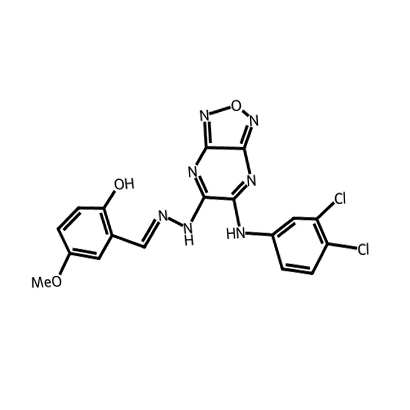 COc1ccc(O)c(C=NNc2nc3nonc3nc2Nc2ccc(Cl)c(Cl)c2)c1